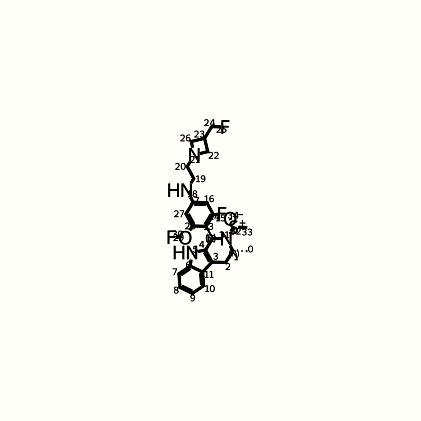 C[C@@H]1Cc2c([nH]c3ccccc23)[C@@H](c2c(F)cc(NCCN3CC(CF)C3)cc2OF)N1[S+](C)[O-]